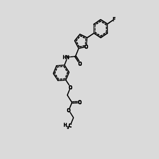 CCOC(=O)COc1cccc(NC(=O)c2ccc(-c3ccc(F)cc3)o2)c1